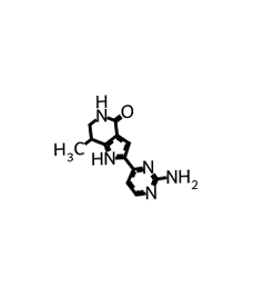 CC1CNC(=O)c2cc(-c3ccnc(N)n3)[nH]c21